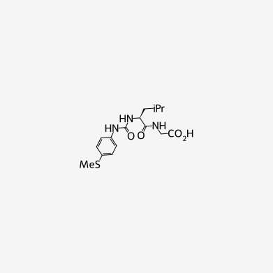 CSc1ccc(NC(=O)N[C@@H](CC(C)C)C(=O)NCC(=O)O)cc1